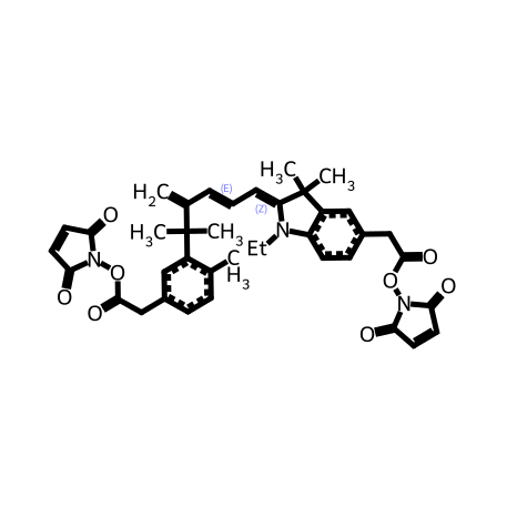 C=C(/C=C/C=C1\N(CC)c2ccc(CC(=O)ON3C(=O)C=CC3=O)cc2C1(C)C)C(C)(C)c1cc(CC(=O)ON2C(=O)C=CC2=O)ccc1C